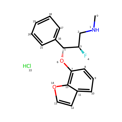 CNC[C@@H](F)[C@H](Oc1cccc2ccoc12)c1ccccc1.Cl